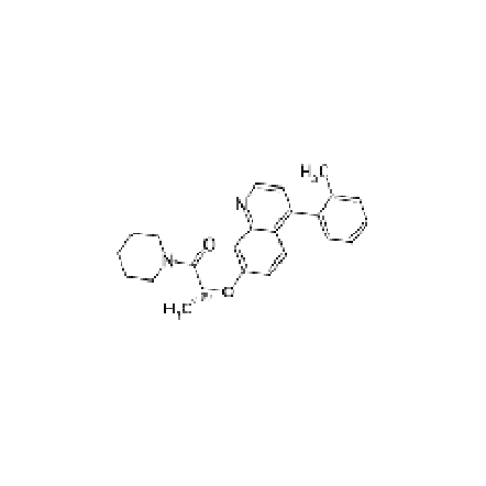 Cc1ccccc1-c1ccnc2cc(O[C@H](C)C(=O)N3CCCCC3)ccc12